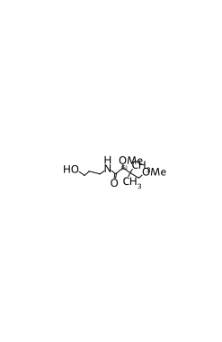 COCC(C)(C)[C@H](OC)C(=O)NCCCO